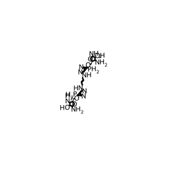 N[C@H]1[C@@H](O)[C@H](N)O[C@@H]1COC1(P)c2ncnc(NC/C=C/CNc3ncnc4c3C4(P)OC[C@H]3O[C@@H](N)[C@H](O)[C@@H]3N)c21